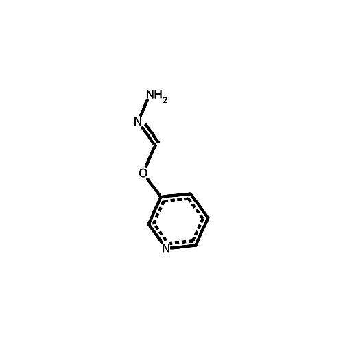 NN=COc1cccnc1